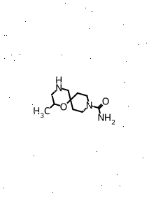 CC1CNCC2(CCN(C(N)=O)CC2)O1